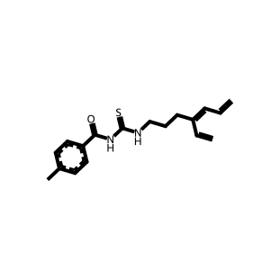 C=C/C=C(\C=C)CCCNC(=S)NC(=O)c1ccc(C)cc1